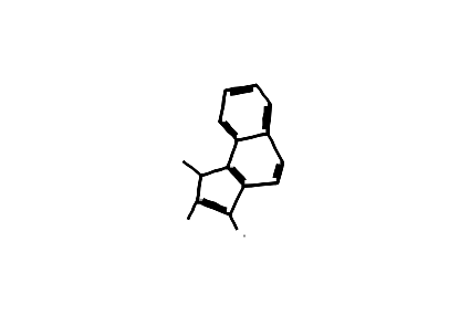 OC1=C(O)C(O)c2c1ccc1ccccc21